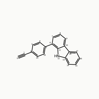 C#Cc1ccc(-c2cccc3c2[nH]c2ccccc23)cc1